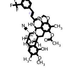 COc1c(C)cc2c(c1O)[C@H]1C3Cc4c(OC(C)=O)c(C)c5c(c4C(NC(=O)/C=C/c4cccc(C(F)(F)F)c4)N3[C@@H](C#N)[C@@H](C2)N1C)OCO5